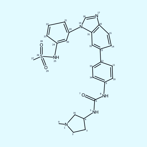 CN1CCC(NC(=O)Nc2ccc(-c3ccc4ncn(-c5cccc(NS(C)(=O)=O)c5)c4c3)cc2)C1